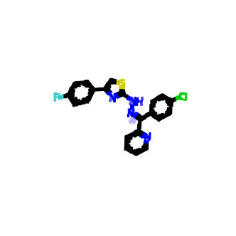 Fc1ccc(-c2csc(N/N=C(\c3ccc(Cl)cc3)c3ccccn3)n2)cc1